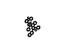 C1=CCCC(c2nc(C3=C(c4ccc(-c5ccc6ccccc6c5)c5c4C4C=CC=CC4O5)CCC=C3)nc(-c3cccc4sc5ccccc5c34)n2)=C1